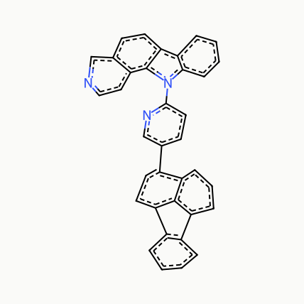 c1ccc2c(c1)-c1cccc3c(-c4ccc(-n5c6ccccc6c6ccc7cnccc7c65)nc4)ccc-2c13